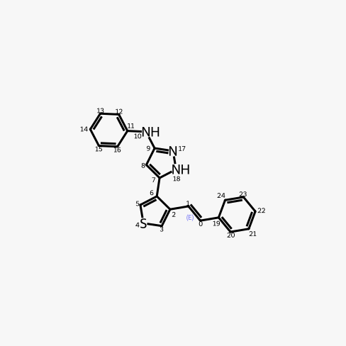 C(=C\c1cscc1-c1cc(Nc2ccccc2)n[nH]1)/c1ccccc1